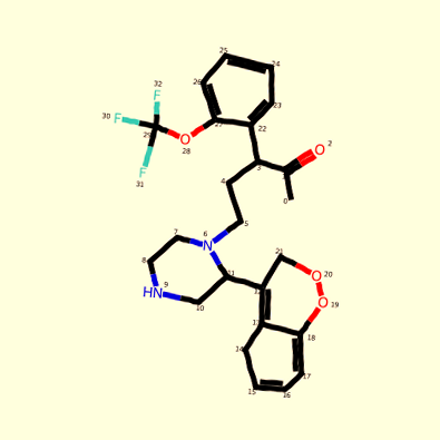 CC(=O)C(CCN1CCNCC1C1=C2CC=CC=C2OOC1)c1ccccc1OC(F)(F)F